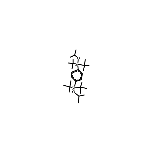 CC(C)O[Si](c1ccc([Si](OC(C)C)(C(C)(C)C)C(C)(C)C)cc1)(C(C)(C)C)C(C)(C)C